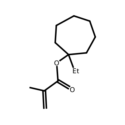 C=C(C)C(=O)OC1(CC)CCCCCC1